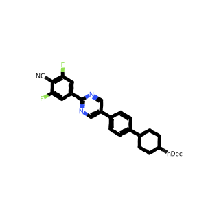 CCCCCCCCCCC1CCC(c2ccc(-c3cnc(-c4cc(F)c(C#N)c(F)c4)nc3)cc2)CC1